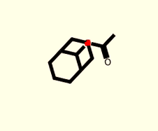 CC(=O)OC1C2CCCC1CCC2